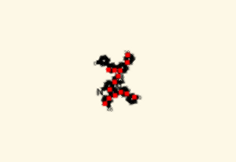 Cc1cccc(-c2ccc3c(c2)c2cc(-c4cccc(C)c4)ccc2n3-c2cc(-c3ccc(C#N)cc3)c(-n3c4ccc(-c5cccc(C)c5)cc4c4cc(-c5cccc(C)c5)ccc43)cn2)c1